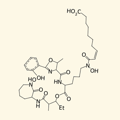 CCC(OC(=O)C(CCCCN(O)C(=O)/C=C\CCCCCCC(=O)O)NC(=O)C1N=C(c2ccccc2O)OC1C)C(C)C(=O)NC1CCCCN(O)C1=O